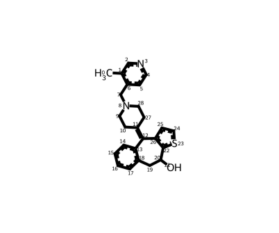 Cc1cnccc1CN1CCC(=C2c3ccccc3CC(O)c3sccc32)CC1